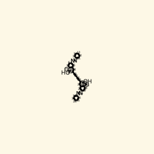 O=S(=O)(O)c1ccc(N=Nc2ccccc2)cc1CCC#CC#CCCc1cc(N=Nc2ccccc2)ccc1S(=O)(=O)O